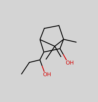 CCC(O)C1C2CCC(C)(C1O)C2(C)C